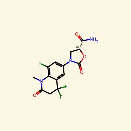 CN1C(=O)CC(F)(F)c2cc(N3C[C@H](C(N)=O)OC3=O)cc(F)c21